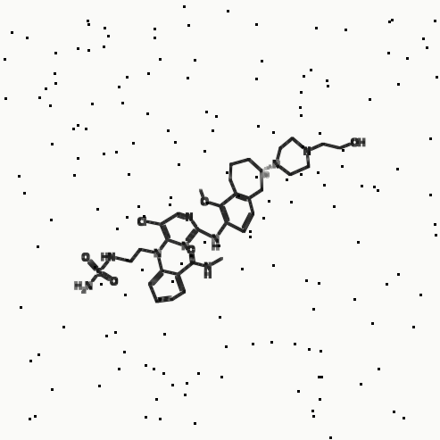 CNC(=O)c1ccccc1N(CCNS(N)(=O)=O)c1nc(Nc2ccc3c(c2OC)CCC[C@H](N2CCN(CCO)CC2)C3)ncc1Cl